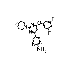 Nc1ncc(-c2cc(Oc3cc(F)cc(F)c3)nc(N3CCOCC3)n2)cn1